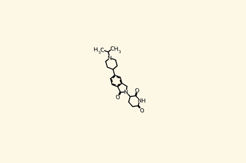 CC(C)N1CCC(c2ccc3c(c2)CN(C2CCC(=O)NC2=O)C3=O)CC1